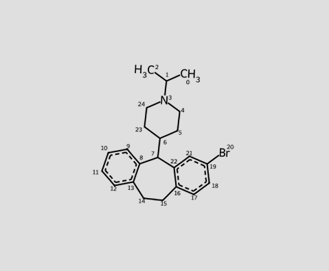 CC(C)N1CCC(C2c3ccccc3CCc3ccc(Br)cc32)CC1